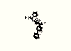 CC(c1ccc(-c2ccccc2)c(F)c1)c1cc(/N=C(/N)N2CCCCC2)on1.Cl